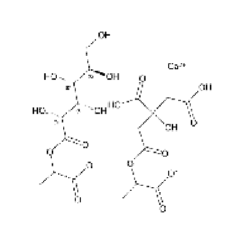 CC(OC(=O)CC(O)(CC(=O)O)C(=O)O)C(=O)[O-].CC(OC(=O)[C@H](O)[C@@H](O)[C@H](O)[C@H](O)CO)C(=O)[O-].[Ca+2]